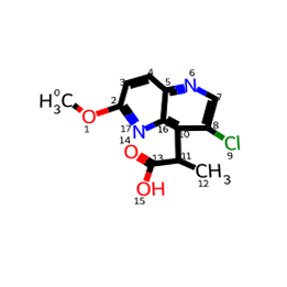 COc1ccc2ncc(Cl)c(C(C)C(=O)O)c2n1